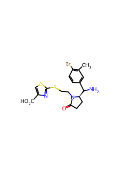 Cc1cc(C(N)[C@H]2CCC(=O)N2CCSc2nc(C(=O)O)cs2)ccc1Br